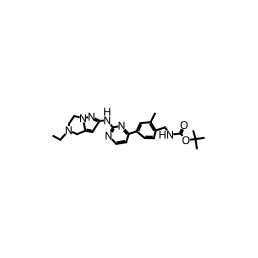 CCN1CCn2nc(Nc3nccc(-c4ccc(CNC(=O)OC(C)(C)C)c(C)c4)n3)cc2C1